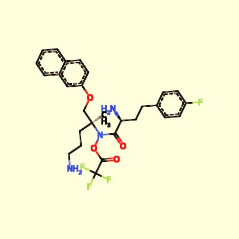 C[C@](CCCN)(COc1ccc2ccccc2c1)N(OC(=O)C(F)(F)F)C(=O)[C@@H](N)CCc1ccc(F)cc1